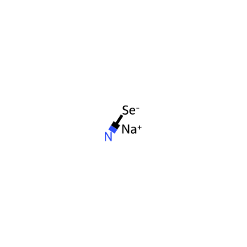 N#C[Se-].[Na+]